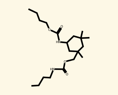 CCCCNC(=O)OCC1(C)CC(NC(=O)OCCCC)CC(C)(C)C1